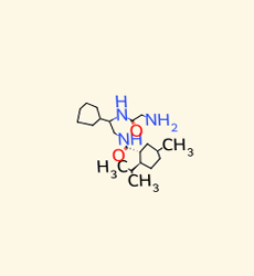 CC1CC[C@@H](C(C)C)[C@H](C(=O)NCC(NC(=O)CN)C2CCCCC2)C1